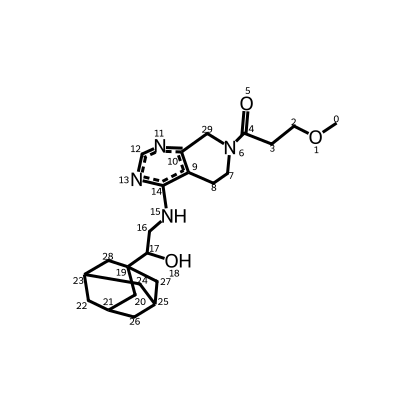 COCCC(=O)N1CCc2c(ncnc2NCC(O)C23CC4CC(CC(C4)C2)C3)C1